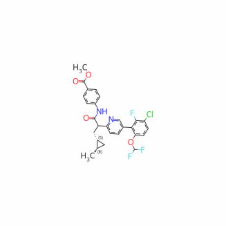 COC(=O)c1ccc(NC(=O)C(C[C@@H]2C[C@H]2C)c2ccc(-c3c(OC(F)F)ccc(Cl)c3F)cn2)cc1